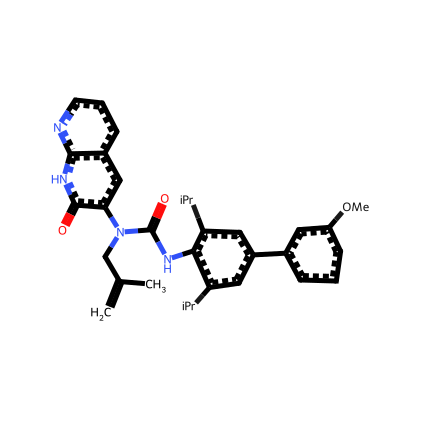 C=C(C)CN(C(=O)Nc1c(C(C)C)cc(-c2cccc(OC)c2)cc1C(C)C)c1cc2cccnc2[nH]c1=O